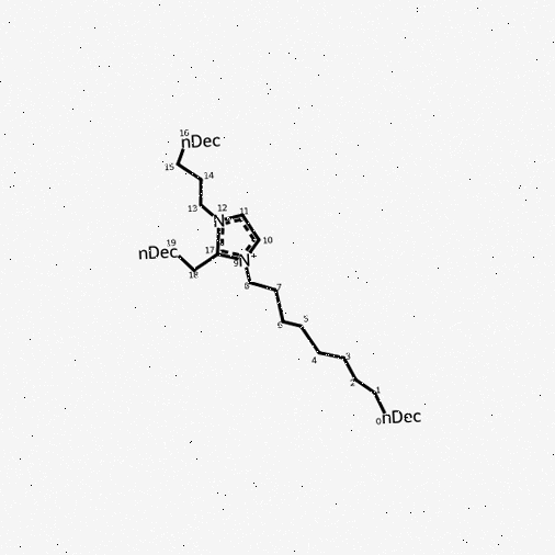 CCCCCCCCCCCCCCCCCC[n+]1ccn(CCCCCCCCCCCCC)c1CCCCCCCCCCC